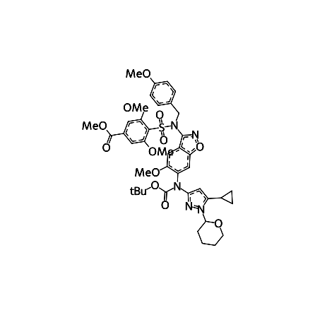 COC(=O)c1cc(OC)c(S(=O)(=O)N(Cc2ccc(OC)cc2)c2noc3cc(N(C(=O)OC(C)(C)C)c4cc(C5CC5)n(C5CCCCO5)n4)c(OC)cc23)c(OC)c1